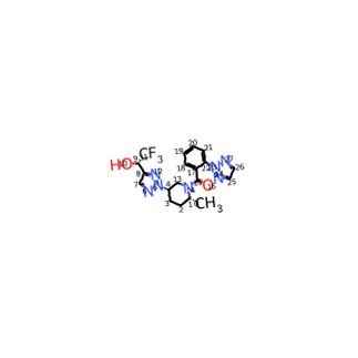 C[C@@H]1CC[C@@H](n2ncc([C@H](O)C(F)(F)F)n2)CN1C(=O)c1ccccc1-n1nccn1